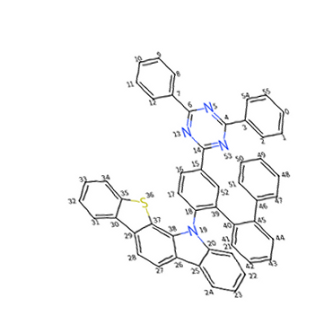 c1ccc(-c2nc(-c3ccccc3)nc(-c3ccc(-n4c5ccccc5c5ccc6c7ccccc7sc6c54)c(-c4ccccc4-c4ccccc4)c3)n2)cc1